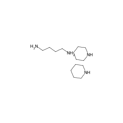 C1CCNCC1.C1CCNCC1.NCCCCN